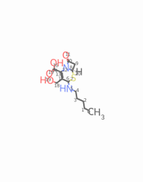 CCCCCNC1S[C@@H]2CC(=O)N2C(C(=O)O)=C1CO